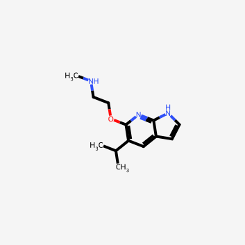 CNCCOc1nc2[nH]ccc2cc1C(C)C